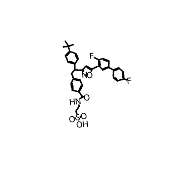 CC(C)(C)c1ccc(C(Cc2ccc(C(=O)NCCS(=O)(=O)O)cc2)c2cc(-c3cc(-c4ccc(F)cc4)ccc3F)on2)cc1